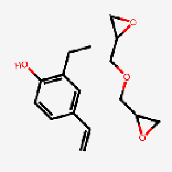 C(OCC1CO1)C1CO1.C=Cc1ccc(O)c(CC)c1